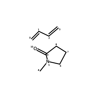 C=CC=C.CN1CCCC1=O